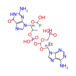 CC[C@@H](OC(OC[PH](=O)O)OP(=O)(O)OC(C)[C@@H](OC(O)F)n1cnc2c(=O)[nH]c(N)nc21)n1cnc2c(N)ncnc21